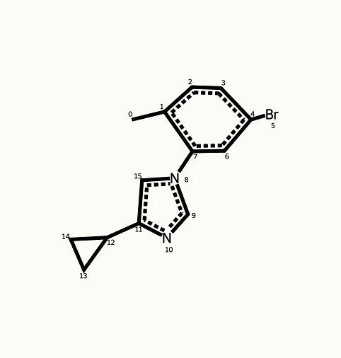 Cc1ccc(Br)cc1-n1cnc(C2CC2)c1